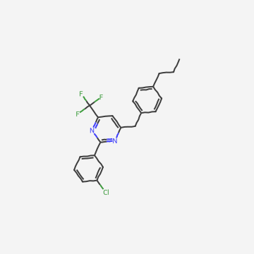 CCCc1ccc(Cc2cc(C(F)(F)F)nc(-c3cccc(Cl)c3)n2)cc1